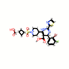 COC(=O)C1=C(C2CCN(S(=O)(=O)[C@H]3C[C@@H](C(=O)O)C3)CC2)NC(c2nccs2)=NC1c1cccc(F)c1Br